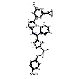 COc1ccc(COC(C)c2nnc(/C(=C/n3cnc(-c4cc(C5CC5)nc(C(F)(F)F)c4)n3)c3cncnc3)o2)cc1